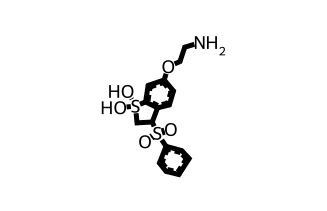 NCCOc1ccc2c(c1)S(O)(O)CC2S(=O)(=O)c1ccccc1